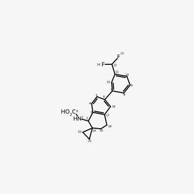 O=C(O)NC1c2ccc(-c3cccc(C(F)F)c3)cc2CCC12CC2